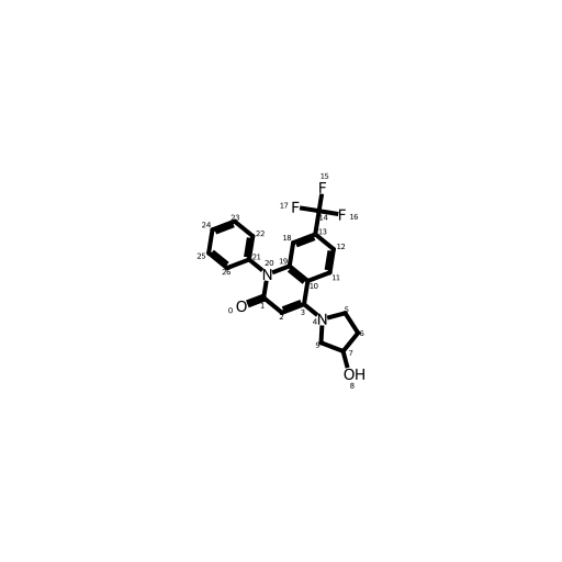 O=c1cc(N2CCC(O)C2)c2ccc(C(F)(F)F)cc2n1-c1ccccc1